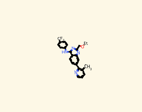 CCOCc1nc(Nc2ccc(C(F)(F)F)cc2)c2ccc(-c3ncccc3C)cc2n1